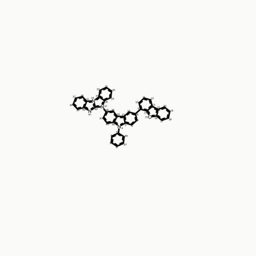 c1ccc(-n2c3ccc(-c4cccc5c4oc4ccccc45)cc3c3cc(-n4c5ccccc5n5c6ccccc6nc45)ccc32)cc1